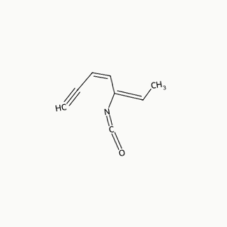 C#C/C=C\C(=C/C)N=C=O